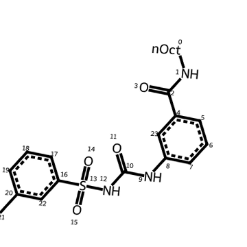 CCCCCCCCNC(=O)c1cccc(NC(=O)NS(=O)(=O)c2cccc(C)c2)c1